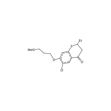 CCC1CC(=O)c2cc(Cl)c(OCCCOC)cc2S1